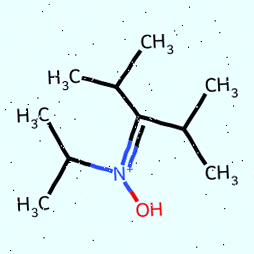 CC(C)C(C(C)C)=[N+](O)C(C)C